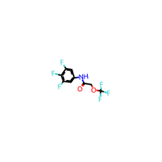 O=C(COC(F)(F)F)Nc1cc(F)c(F)c(F)c1